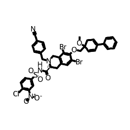 COC1(COc2c(Br)cc3c(c2Br)CN(Cc2ccc(C#N)cc2)[C@H](C(=O)NS(=O)(=O)c2ccc(Cl)c([N+](=O)[O-])c2)C3)C=CC(c2ccccc2)=CC1